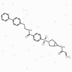 C=CC(=O)NC1C2CN(S(=O)(=O)c3ccc(C(=O)NCCc4ccc(-c5ccccc5)cc4)cc3)CC21